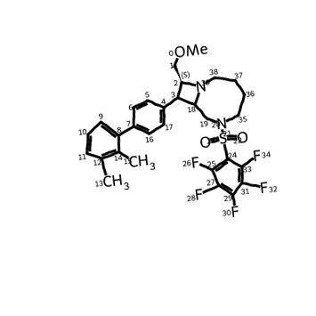 COC[C@@H]1C(c2ccc(-c3cccc(C)c3C)cc2)C2CN(S(=O)(=O)c3c(F)c(F)c(F)c(F)c3F)CCCCN21